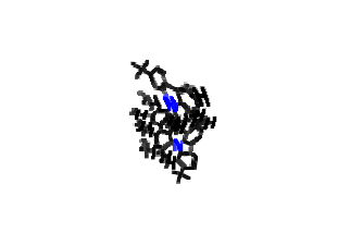 [2H]c1cc2c3ccc(C(C)(C)C)cc3n(-c3c([2H])c([2H])c([2H])c(-c4c([2H])c([2H])c([2H])c(-n5c6c([2H])c(C(C)(C)C)ccc6c6cc([2H])c([2H])c([2H])c65)c4[2H])c3[2H])c2c([2H])c1[2H]